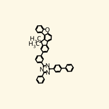 CC1(C)c2cc(-c3cccc(-c4nc(-c5ccccc5)nc(-c5ccc(-c6ccccc6)cc5)n4)c3)ccc2-c2ccc3oc4ccccc4c3c21